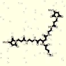 CCOCCC(=O)NC(CC(=O)NCCNC(=O)CCN1C(=O)CC(SC)C1=O)CC(=O)NCCNC(=O)CCN1C(=O)CC(SC)C1=O